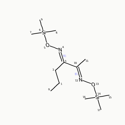 CCCC(=N\O[Si](C)(C)C)/C(C)=N/O[Si](C)(C)C